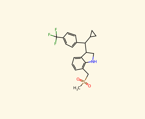 CS(=O)(=O)Cc1cccc2c1NCC2C(c1ccc(C(F)(F)F)cc1)C1CC1